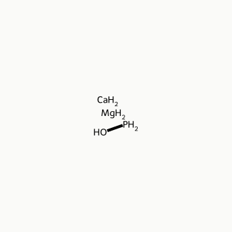 OP.[CaH2].[MgH2]